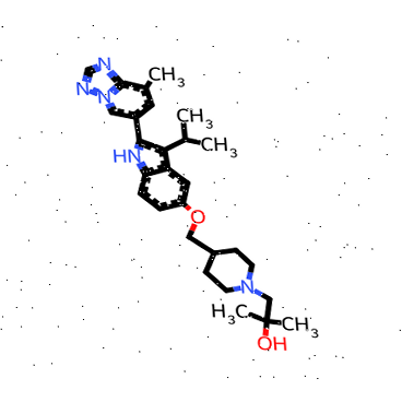 Cc1cc(-c2[nH]c3ccc(OCC4CCN(CC(C)(C)O)CC4)cc3c2C(C)C)cn2ncnc12